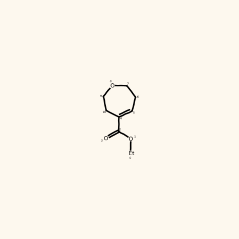 CCOC(=O)C1=CCCOCC1